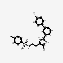 Cc1ccc(S(=O)(=O)OCCc2nc(-c3cccc(-c4ccc(F)cc4)c3)oc2C)cc1